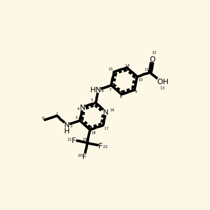 CCNc1nc(Nc2ccc(C(=O)O)cc2)ncc1C(F)(F)F